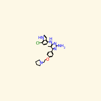 Cc1c(Nc2ccc(Cl)c3[nH]ccc23)nc(N)nc1-c1ccc(OCCN2CCCC2)cc1